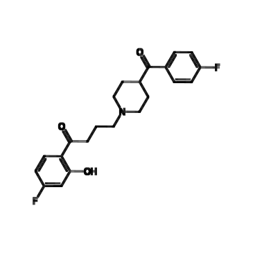 O=C(CCCN1CCC(C(=O)c2ccc(F)cc2)CC1)c1ccc(F)cc1O